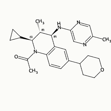 CC(=O)N1c2ccc(C3CCOCC3)cc2[C@H](Nc2cnc(C)cn2)[C@@H](C)[C@@H]1C1CC1